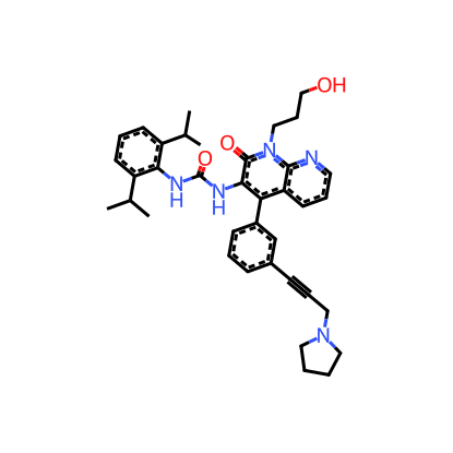 CC(C)c1cccc(C(C)C)c1NC(=O)Nc1c(-c2cccc(C#CCN3CCCC3)c2)c2cccnc2n(CCCO)c1=O